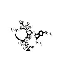 COc1ccc2c(O[C@@H]3C[C@H]4C(=O)N[C@]5(C(=O)NS(=O)(=O)C6(CF)CC6)C[C@H]5C=CCC[C@@H](C)C[C@@H](C)[C@H](N(C(=O)O)C5COC5)C(=O)N4C3)nc(OC)cc2c1